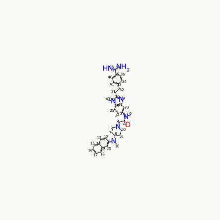 CN(C(=O)CN1CCC(N(C)c2ccc3ccccc3c2)CC1)c1ccc2c(c1)nc(CCc1ccc(C(=N)N)cc1)n2C